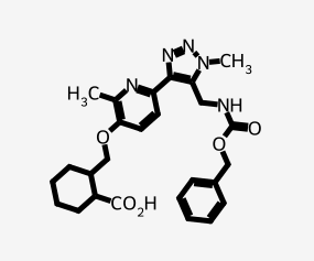 Cc1nc(-c2nnn(C)c2CNC(=O)OCc2ccccc2)ccc1OCC1CCCCC1C(=O)O